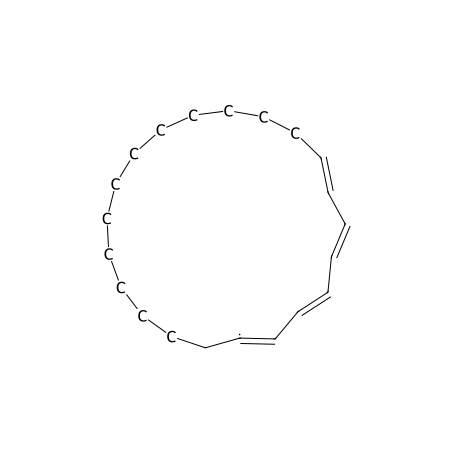 [C]1=C/C=C/C=C/C=C/CCCCCCCCCCCCC/1